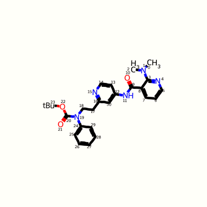 CN(C)c1ncccc1C(=O)Nc1ccnc(CCN(C(=O)OC(C)(C)C)c2ccccc2)c1